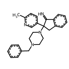 Cc1ccc(C2(N3CCN(Cc4ccccc4)CC3)Cc3ccccc3C2=N)cn1